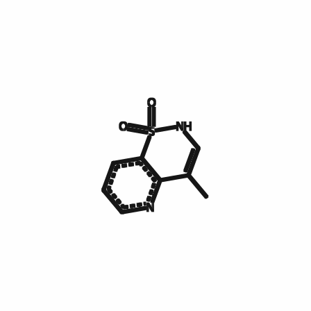 CC1=CNS(=O)(=O)c2cccnc21